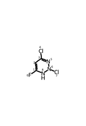 FC1=CC(Cl)=NN(Cl)N1